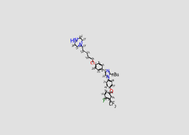 CCCCc1nc(-c2ccc(OCCCCCN3CCNCC3)cc2)cn1-c1ccc(Oc2ccc(F)c(C(F)(F)F)c2)cc1